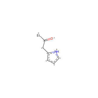 CCC(=O)Cc1ccc[nH]1